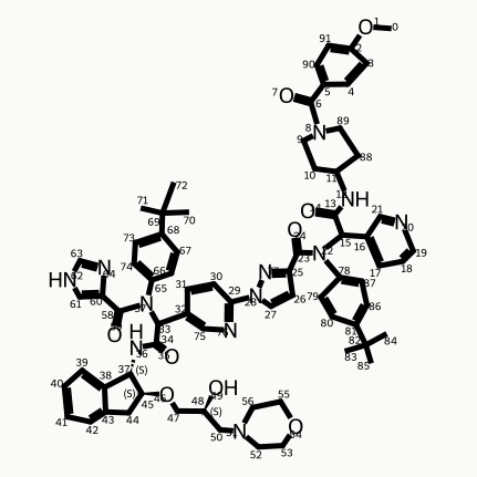 COc1ccc(C(=O)N2CCC(NC(=O)C(c3cccnc3)N(C(=O)c3ccn(-c4ccc(C(C(=O)N[C@H]5c6ccccc6C[C@@H]5OC[C@@H](O)CN5CCOCC5)N(C(=O)c5c[nH]cn5)c5ccc(C(C)(C)C)cc5)cn4)n3)c3ccc(C(C)(C)C)cc3)CC2)cc1